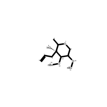 C=CC[C@@]1(O)C(C)OCC(OCCCC)C1OCCCC